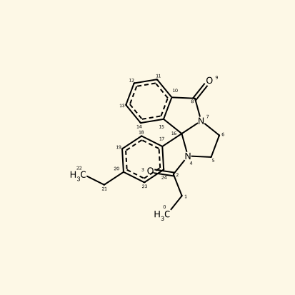 CCC(=O)N1CCN2C(=O)c3ccccc3C12c1ccc(CC)cc1